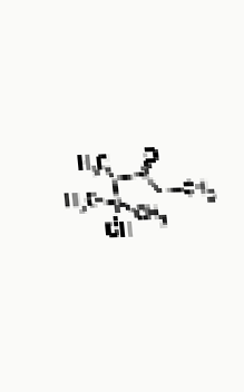 CCC(=O)C(C)C(C)(C)O